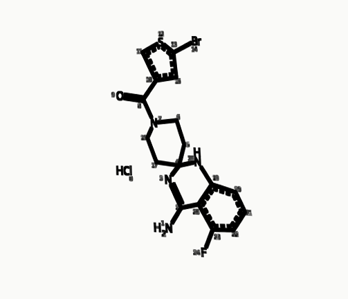 Cl.NC1=NC2(CCN(C(=O)c3csc(Br)c3)CC2)Nc2cccc(F)c21